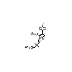 COCC(C)(C)/C=C/n1ncc(C2OC(C)O2)c1OCC(C)C